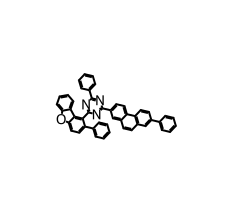 c1ccc(-c2ccc3c(ccc4cc(-c5nc(-c6ccccc6)nc(-c6c(-c7ccccc7)ccc7oc8ccccc8c67)n5)ccc43)c2)cc1